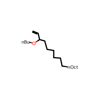 C=CC(CCCCCCCCCCCCCC)OCCCC